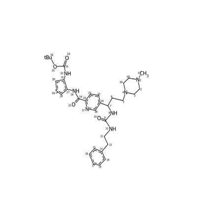 CN1CCN(CCC(NC(=O)NCCc2ccccc2)c2ccc(C(=O)Nc3cscc3NC(=O)OC(C)(C)C)nc2)CC1